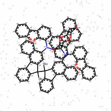 CC(C)(C)C1(C2(C(C)(C)C)c3ccccc3-c3c2cc(N(c2cccc4c2oc2ccccc24)c2cccc4c2oc2ccccc24)c2ccccc32)c2ccccc2-c2c1cc(N(c1cccc3c1oc1ccccc13)c1cccc3c1oc1ccccc13)c1ccccc21